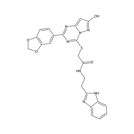 O=C(CSc1nc(-c2ccc3c(c2)OCO3)nc2cc(O)nn12)NCCc1nc2ccccc2[nH]1